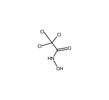 O=C(NO)C(Cl)(Cl)Cl